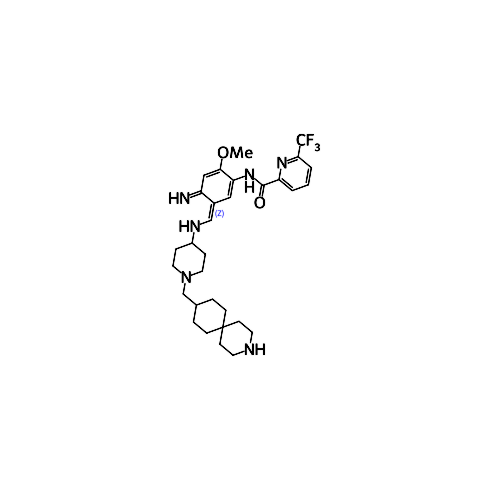 COC1=CC(=N)/C(=C\NC2CCN(CC3CCC4(CCNCC4)CC3)CC2)C=C1NC(=O)c1cccc(C(F)(F)F)n1